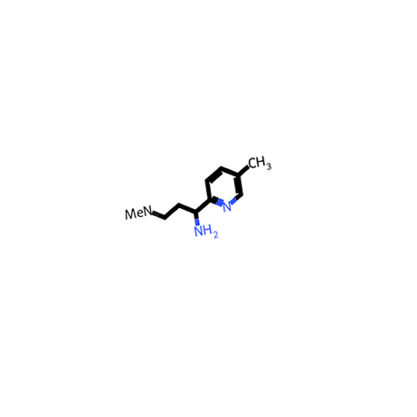 CNCCC(N)c1ccc(C)cn1